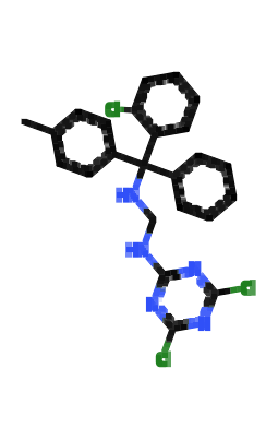 Cc1ccc(C(NCNc2nc(Cl)nc(Cl)n2)(c2ccccc2)c2ccccc2Cl)cc1